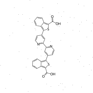 O=C(O)c1sc(-c2ccnc(-c3cc(-c4sc(C(=O)O)c5ccccc45)ccn3)c2)c2ccccc12